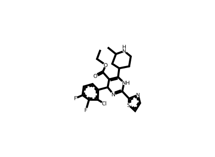 CCOC(=O)C1=C(C2CCNC(C)C2)NC(c2nccs2)=NC1c1ccc(F)c(F)c1Cl